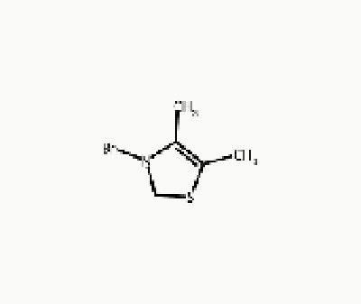 CC1=C(C)N(Br)CS1